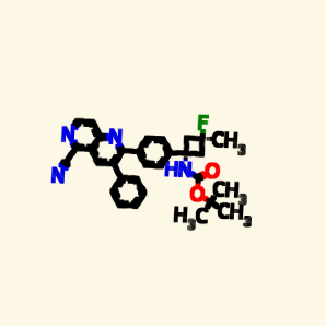 CC(C)(C)OC(=O)N[C@]1(c2ccc(-c3nc4ccnc(C#N)c4cc3-c3ccccc3)cc2)C[C@@](C)(F)C1